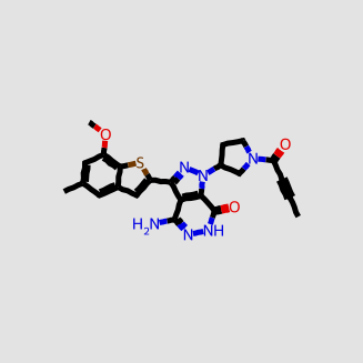 CC#CC(=O)N1CCC(n2nc(-c3cc4cc(C)cc(OC)c4s3)c3c(N)n[nH]c(=O)c32)C1